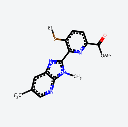 CCSc1ccc(C(=O)OC)nc1-c1nc2cc(C(F)(F)F)cnc2n1C